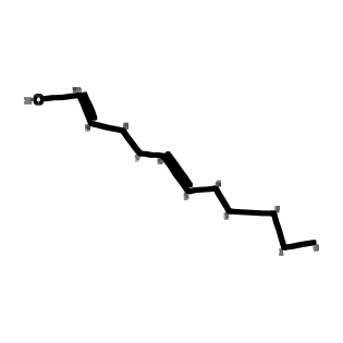 CCCCC/C=C/CC/C=C/[O]